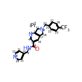 CC(C)[C@H]1c2ncc(C(=O)NCc3ccncc3)cc2CN1Cc1ccc(C(F)(F)F)cc1